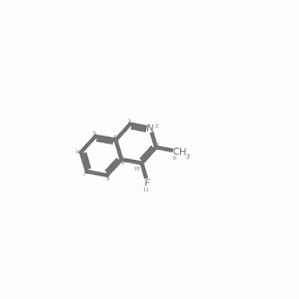 Cc1ncc2ccccc2c1F